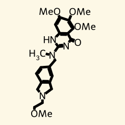 COCCN1Cc2ccc(CN(C)c3nc(=O)c4c(OC)c(OC)c(OC)cc4[nH]3)cc2C1